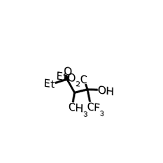 CCOC(=O)C(O)(C(C)C(=O)CC)C(F)(F)F